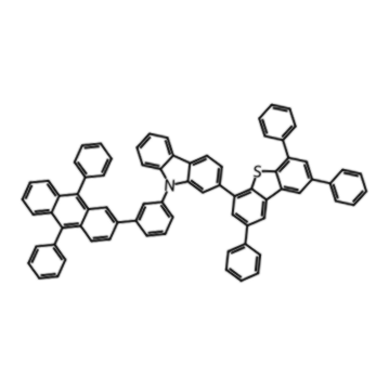 c1ccc(-c2cc(-c3ccccc3)c3sc4c(-c5ccc6c7ccccc7n(-c7cccc(-c8ccc9c(-c%10ccccc%10)c%10ccccc%10c(-c%10ccccc%10)c9c8)c7)c6c5)cc(-c5ccccc5)cc4c3c2)cc1